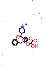 CCCN1CCC(C2Oc3ccccc3Cn3cccc32)CC1.O=C(O)C(=O)O